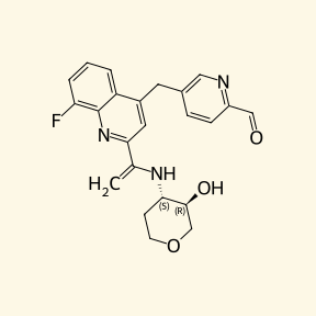 C=C(N[C@H]1CCOC[C@@H]1O)c1cc(Cc2ccc(C=O)nc2)c2cccc(F)c2n1